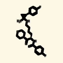 CC1(NCCCC[C@H](NC(=O)c2ccc(F)cc2)C(=O)N2CCOCC2)C[C@H]1c1ccc(F)cc1